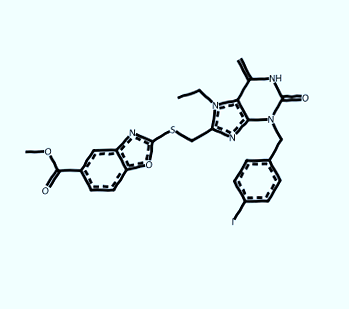 C=C1NC(=O)N(Cc2ccc(I)cc2)c2nc(CSc3nc4cc(C(=O)OC)ccc4o3)n(CC)c21